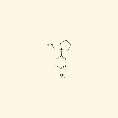 NCC1(c2ccc(C(F)(F)F)cc2)CCCC1